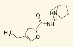 CCc1coc(C(=O)N[C@@H]2CC3CCC2N3)c1